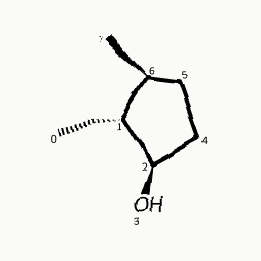 C[C@H]1[C@H](O)CC[C@@H]1C